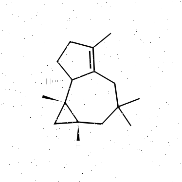 CC1=C2CC(C)(C)C[C@@H]3C[C@]3(C)[C@H]2CC1